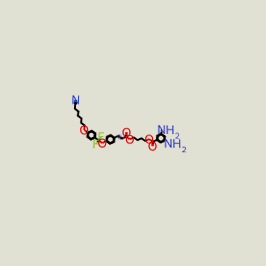 N#CCCCCCCOc1ccc(C(F)(F)Oc2ccc(/C=C/C(=O)OCCCCOC(=O)c3cc(N)cc(N)c3)cc2)cc1